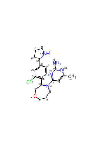 Cc1cc(N2CCCOCC2c2ccc(C3CCCN3)cc2Cl)nc(N)n1